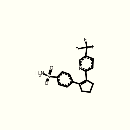 NS(=O)(=O)c1ccc(C2=C(c3ccc(C(F)(F)F)cn3)CCC2)cc1